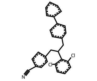 N#Cc1ccc(C[C](Cc2ccc(-c3ccccc3)cc2)c2c(Cl)cccc2Cl)cc1